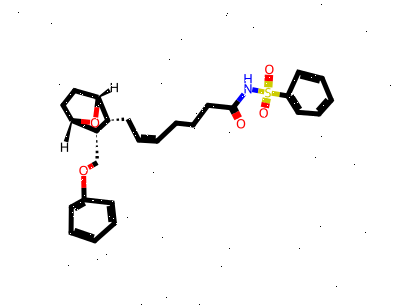 O=C(CCC/C=C\C[C@@H]1[C@H](COc2ccccc2)[C@@H]2CC[C@H]1O2)NS(=O)(=O)c1ccccc1